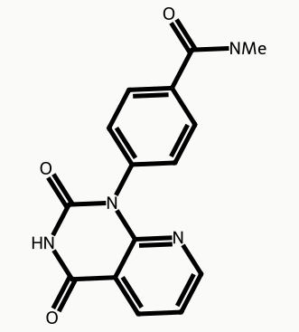 CNC(=O)c1ccc(-n2c(=O)[nH]c(=O)c3cccnc32)cc1